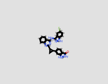 O=c1[nH][nH]c2cc(C3CC3c3nc(Nc4n[nH]c5ccc(F)cc45)c4ccccc4n3)ccc12